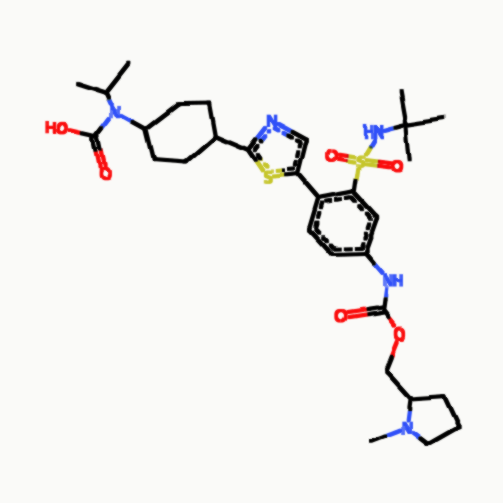 CC(C)N(C(=O)O)C1CCC(c2ncc(-c3ccc(NC(=O)OCC4CCCN4C)cc3S(=O)(=O)NC(C)(C)C)s2)CC1